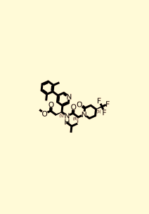 COC(=O)C[C@H](NC(=O)[C@@H](CC(C)C)N1CC[C@H](C(F)(F)F)CC1=O)c1cncc(-c2c(C)cccc2C)c1